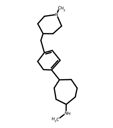 CNC1CCCC(C2=CC=C(CC3CCN(C)CC3)CC2)CC1